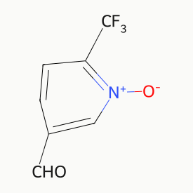 O=Cc1ccc(C(F)(F)F)[n+]([O-])c1